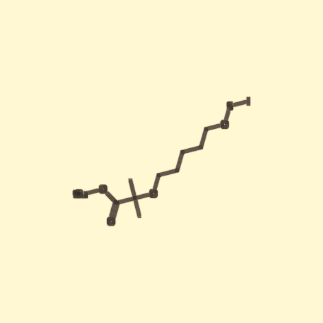 CC(C)(C)OC(=O)C(C)(C)OCCCCCOSI